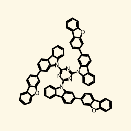 c1ccc2c(c1)oc1cc(-c3ccc4c5ccccc5n(-c5nc(-n6c7ccccc7c7ccc(-c8ccc9c(c8)oc8ccccc89)cc76)nc(-n6c7ccccc7c7ccc(-c8ccc9c(c8)oc8ccccc89)cc76)n5)c4c3)ccc12